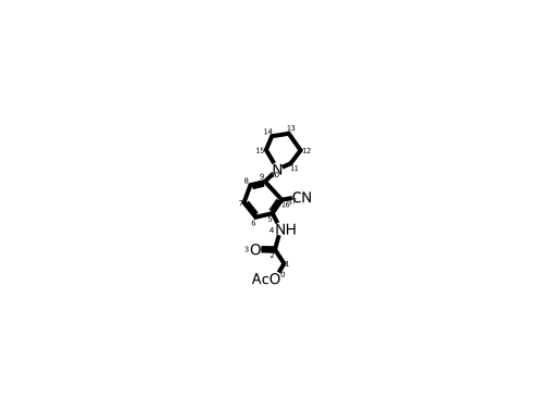 CC(=O)OCC(=O)Nc1cccc(N2CCCCC2)c1C#N